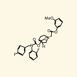 COc1cccc(OC(=O)C[N+]23CCC(CC2)[C@@H](OC(=O)N(Cc2ccc(F)cc2)c2ccccc2F)C3)c1